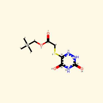 C[Si](C)(C)COC(=O)CSc1n[nH]c(=O)[nH]c1=O